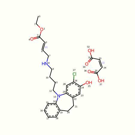 CCOC(=O)/C=C/CNCCCCN1c2ccccc2CCc2cc(O)c(Cl)cc21.O=C(O)/C=C\C(=O)O